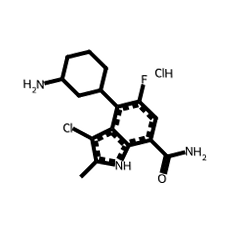 Cc1[nH]c2c(C(N)=O)cc(F)c(C3CCCC(N)C3)c2c1Cl.Cl